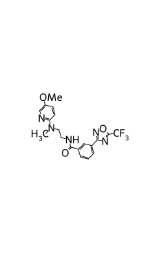 COc1ccc(N(C)CCNC(=O)c2cccc(-c3noc(C(F)(F)F)n3)c2)nc1